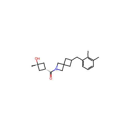 Cc1cccc(CC2CC3(C2)CN(C(=O)[C@H]2C[C@@](C)(O)C2)C3)c1C